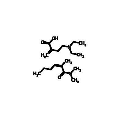 C=C(CCN(CC)CC)C(=O)O.CCCC=C(C)C(=O)N(C)C